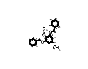 COc1cc(OCc2ccccc2)c(OC)c(OCc2ccccc2)c1